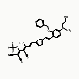 CC(/C=C/c1ccc(/C=C/c2ccc(N(C)CCO)cc2OCc2ccccc2)s1)=C(/C#N)C(OC(F)(F)F)=C(C#N)C#N